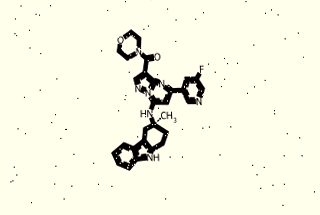 C[C@]1(Nc2cc(-c3cncc(F)c3)nc3c(C(=O)N4CCOCC4)cnn23)CCc2[nH]c3ccccc3c2C1